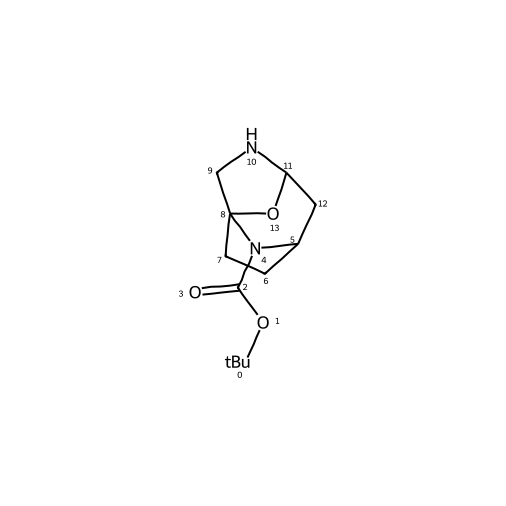 CC(C)(C)OC(=O)N1C2CCC13CNC(C2)O3